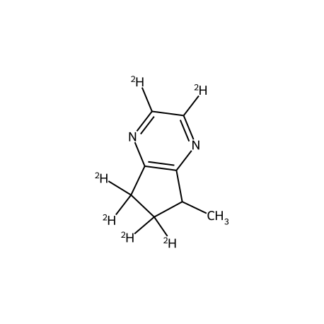 [2H]c1nc2c(nc1[2H])C([2H])([2H])C([2H])([2H])C2C